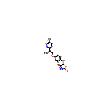 CCc1ccc(C(COc2ccc(CC3SC(=O)NC3=O)cc2)N=O)nc1